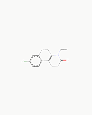 CCN1C(=O)CCC2=C1CCc1cc(F)ccc12